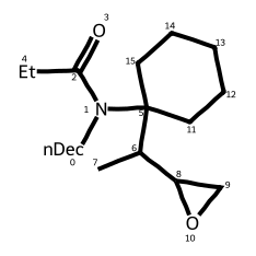 CCCCCCCCCCN(C(=O)CC)C1(C(C)C2CO2)CCCCC1